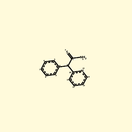 NC(=S)C(c1ccccc1)c1ccccn1